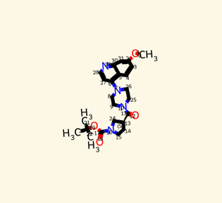 COc1ccc2c(N3CCN(C(=O)[C@H]4CCN(C(=O)OC(C)(C)C)C4)CC3)ccnc2c1